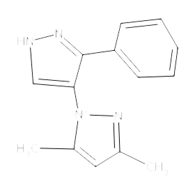 CC1=CC(C)=N[N+]1c1c[nH]nc1-c1ccccc1